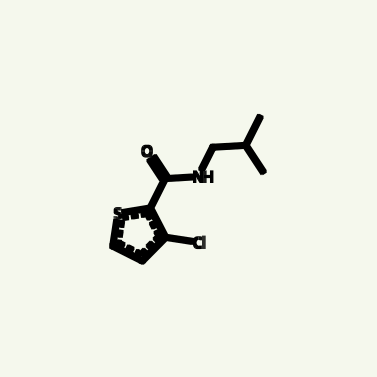 CC(C)CNC(=O)c1sccc1Cl